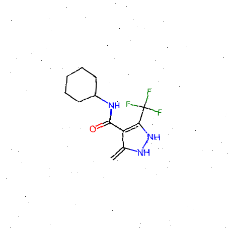 C=C1NNC(C(F)(F)F)=C1C(=O)NC1CCCCC1